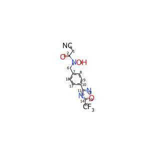 N#CCC(=O)N(O)Cc1ccc(-c2noc(C(F)(F)F)n2)cc1